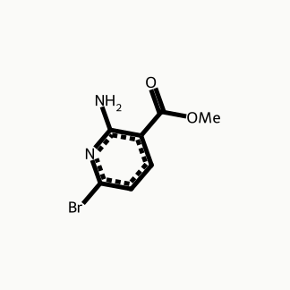 COC(=O)c1ccc(Br)nc1N